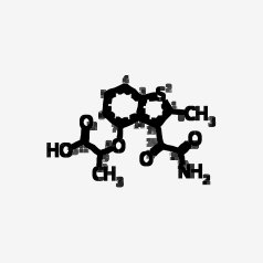 Cc1sc2cccc(OC(C)C(=O)O)c2c1C(=O)C(N)=O